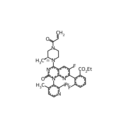 C=CC(=O)N1CCN(c2nc(=O)n(-c3c(C)ccnc3C(C)C)c3nc(-c4c(F)cccc4C(=O)OCC)c(F)cc23)[C@@H](C)C1